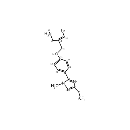 Cn1nc(CC(F)(F)F)nc1-c1ccc(OC/C(=C/F)CN)cc1